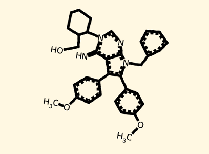 COc1ccc(-c2c(-c3ccc(OC)cc3)n(Cc3ccccc3)c3ncn(C4CCCCC4CO)c(=N)c23)cc1